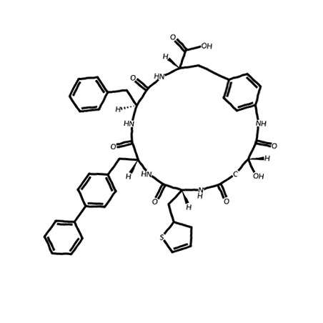 O=C1C[C@@H](O)C(=O)Nc2ccc(cc2)C[C@@H](C(=O)O)NC(=O)[C@H](Cc2ccccc2)NC(=O)[C@@H](Cc2ccc(-c3ccccc3)cc2)NC(=O)[C@@H](CC2CC=CS2)N1